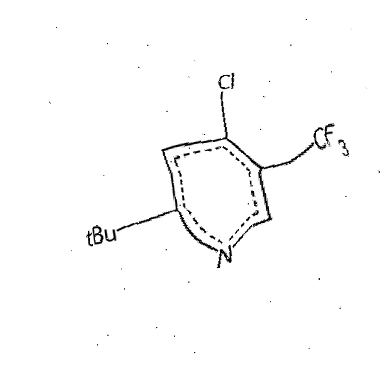 CC(C)(C)c1cc(Cl)c(C(F)(F)F)cn1